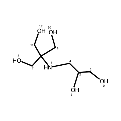 OCC(O)CNC(CO)(CO)CO